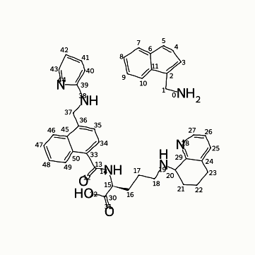 NCc1cccc2ccccc12.O=C(N[C@@H](CCCNC1CCCc2cccnc21)C(=O)O)c1ccc(CNc2ccccn2)c2ccccc12